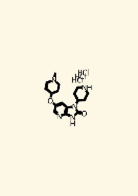 CN1CCC(Oc2cnc3[nH]c(=O)n(C4CCNCC4)c3c2)CC1.Cl.Cl.Cl